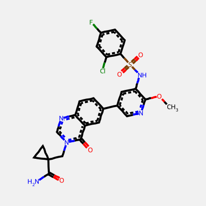 COc1ncc(-c2ccc3ncn(CC4(C(N)=O)CC4)c(=O)c3c2)cc1NS(=O)(=O)c1ccc(F)cc1Cl